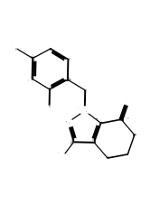 Cc1nn(Cc2ccc(Cl)cc2Cl)c2c1CCCC2=O